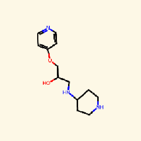 OC(CNC1CCNCC1)COc1ccncc1